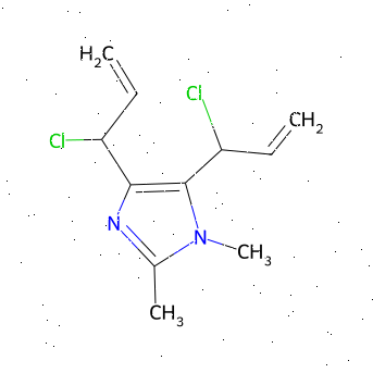 C=CC(Cl)c1nc(C)n(C)c1C(Cl)C=C